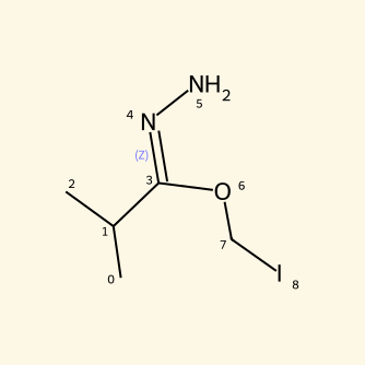 CC(C)/C(=N/N)OCI